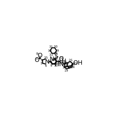 COC(=O)[C@@H]1CCN(c2ccc(C(=O)N[C@H]3C4CC5CC3C[C@](O)(C5)C4)c(SC3CCCCC3)n2)C1